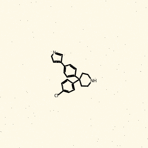 Clc1ccc(C2(c3ccc(C4=CCN=C4)cc3)CCNCC2)cc1